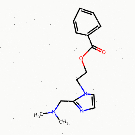 CN(C)Cc1nccn1CCOC(=O)c1ccccc1